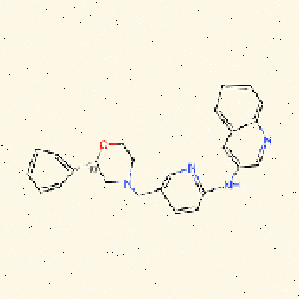 c1ccc([C@H]2CN(Cc3ccc(Nc4cnc5ccccc5c4)nc3)CCO2)cc1